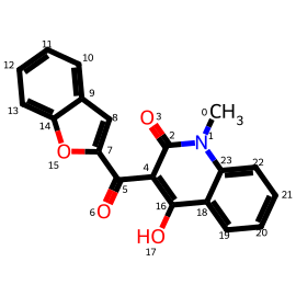 Cn1c(=O)c(C(=O)c2cc3ccccc3o2)c(O)c2ccccc21